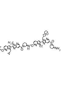 CCn1c(-c2nc3cc(C(=O)N4CCC[C@@H](N)C4)cnc3n2CC2CC3(CCCO3)C2)cc2ccc(OCN[C@@H]3CCCN(C(=O)c4cnc5c(c4)nc(-c4cc6ccc(OC(F)F)nc6n4CC4CC4)n5C)C3)nc21